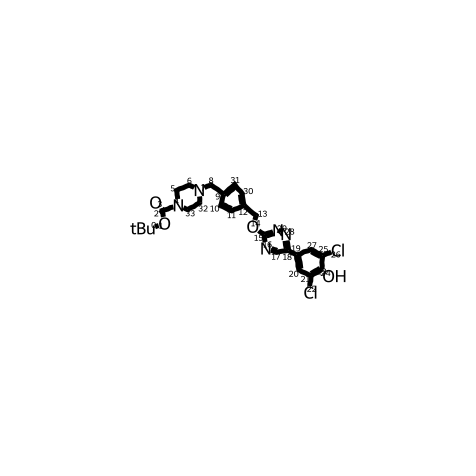 CC(C)(C)OC(=O)N1CCN(Cc2ccc(COc3ncc(-c4cc(Cl)c(O)c(Cl)c4)nn3)cc2)CC1